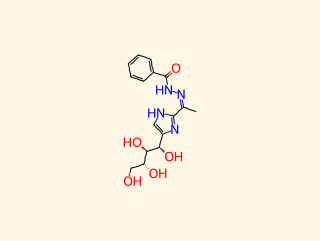 CC(=NNC(=O)c1ccccc1)c1nc([C@@H](O)[C@H](O)[C@H](O)CO)c[nH]1